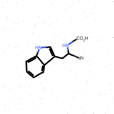 CC(C)C(Cc1c[nH]c2ccccc12)NC(=O)O